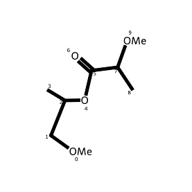 COCC(C)OC(=O)C(C)OC